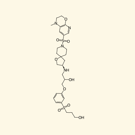 CN1CCOc2ncc(S(=O)(=O)N3CCC4(CC3)C[C@@H](NCC(O)COc3cccc(S(=O)(=O)CCCO)c3)CO4)cc21